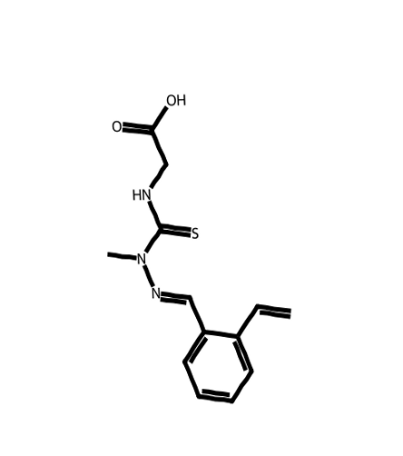 C=Cc1ccccc1C=NN(C)C(=S)NCC(=O)O